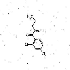 C=C(CCC)C(=O)c1ccc(Cl)cc1Cl